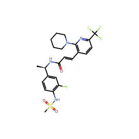 C[C@@H](NC(=O)/C=C/c1ccc(C(F)(F)F)nc1N1CCCCC1)c1ccc(NS(C)(=O)=O)c(F)c1